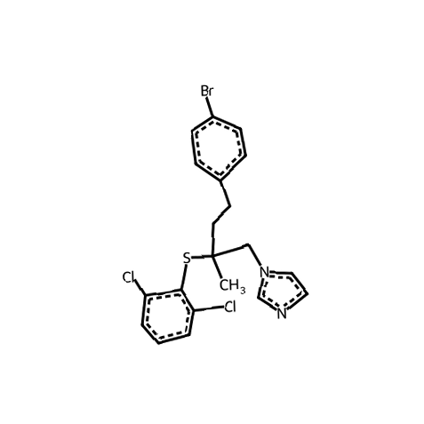 CC(CCc1ccc(Br)cc1)(Cn1ccnc1)Sc1c(Cl)cccc1Cl